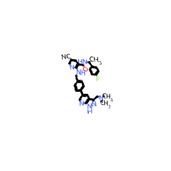 C[C@H](NC(=O)c1cc(C#N)cnc1NCc1ccc(-c2cnc3[nH]nc(CN(C)C)c3c2)cc1)c1ccc(F)cc1